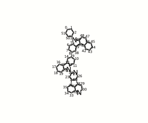 c1ccc(-n2c3ccc(-c4ccc5c(c4)c4ccccc4n5-c4cc5c(cn4)-c4ccnc6cccc-5c46)cc3c3c4ccccc4ccc32)cc1